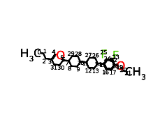 CCCC1=COC(C2CCC(C3CCC(c4ccc(OCC)c(F)c4F)CC3)CC2)CC1